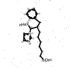 CCCCCCCCCCCCCCCCC(Cc1ccccc1)C(CCCCCC)n1ccnc1